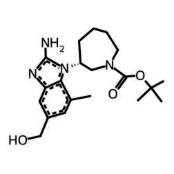 Cc1cc(CO)cc2nc(N)n([C@@H]3CCCCN(C(=O)OC(C)(C)C)C3)c12